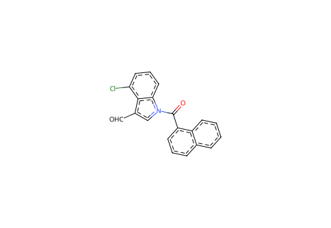 O=Cc1cn(C(=O)c2cccc3ccccc23)c2cccc(Cl)c12